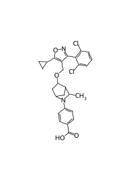 CC1C2CC(CC2OCc2c(-c3c(Cl)cccc3Cl)noc2C2CC2)N1c1ccc(C(=O)O)cc1